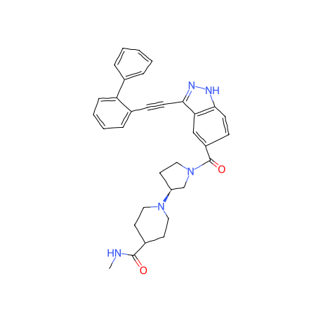 CNC(=O)C1CCN([C@H]2CCN(C(=O)c3ccc4[nH]nc(C#Cc5ccccc5-c5ccccc5)c4c3)C2)CC1